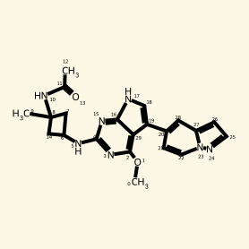 COc1nc(NC2CC(C)(NC(C)=O)C2)nc2[nH]cc(-c3ccn4nccc4c3)c12